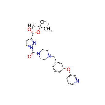 CC(C)(C)OC(=O)c1ccn(C(=O)N2CCN(Cc3cccc(Oc4cccnc4)c3)CC2)n1